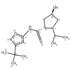 CC(C)N1C[C@H](O)C[C@H]1C(=O)Nc1cc(C(C)(C)C)no1